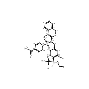 CCOC(C)(c1ccc(CN(c2ncc3ccccc3c2C)S(=O)(=O)c2ccc(C(=O)O)cc2)cc1F)C(F)(F)F